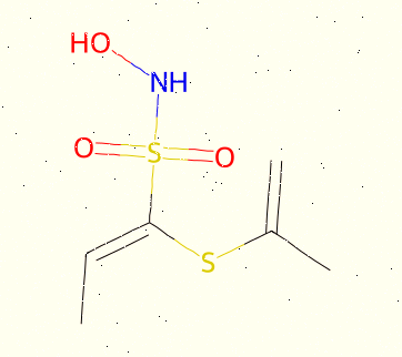 C=C(C)S/C(=C\C)S(=O)(=O)NO